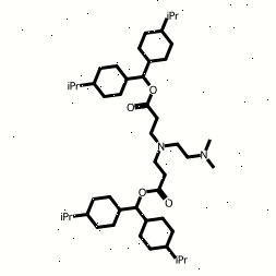 CC(C)C1CCC(C(OC(=O)CCN(CCC(=O)OC(C2CCC(C(C)C)CC2)C2CCC(C(C)C)CC2)CCN(C)C)C2CCC(C(C)C)CC2)CC1